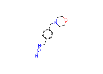 [N-]=[N+]=NCc1ccc(CN2CCOCC2)cc1